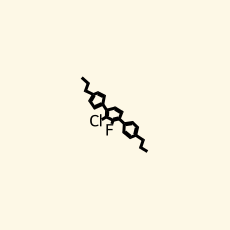 CCCc1ccc(-c2ccc(-c3ccc(CCC)cc3)c(Cl)c2F)cc1